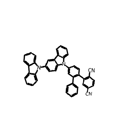 N#Cc1ccc(C#N)c(-c2ccc(-n3c4ccccc4c4cc(-n5c6ccccc6c6ccccc65)ccc43)cc2-c2ccccc2)c1